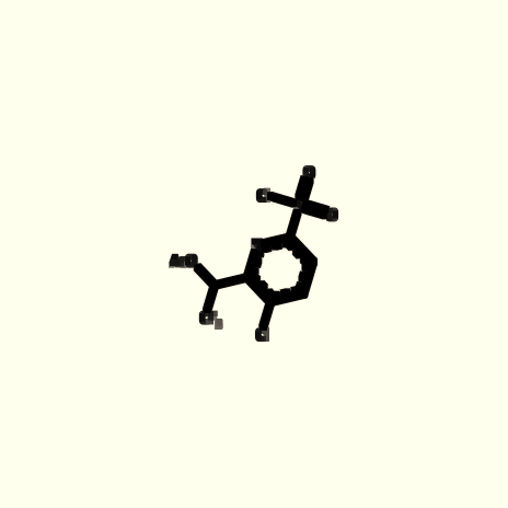 CC(=O)OC(c1nc(S(=O)(=O)Cl)ccc1Cl)C(F)(F)F